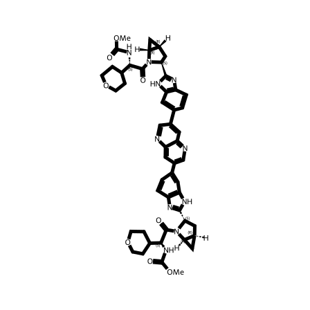 COC(=O)N[C@H](C(=O)N1[C@@H]2C[C@@H]2C[C@H]1c1nc2ccc(-c3cnc4cc(-c5ccc6nc([C@@H]7C[C@H]8C[C@H]8N7C(=O)[C@@H](NC(=O)OC)C7CCOCC7)[nH]c6c5)cnc4c3)cc2[nH]1)C1CCOCC1